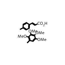 COc1cc(C)c(OC)c(OC)c1OC.Cc1ccc(C=CC(=O)O)cc1